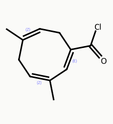 CC1=C/C/C(C)=C\C/C(C(=O)Cl)=C\1